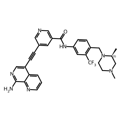 C[C@H]1CN(C)CCN1Cc1ccc(NC(=O)c2cncc(C#Cc3cnc(N)c4ncccc34)c2)cc1C(F)(F)F